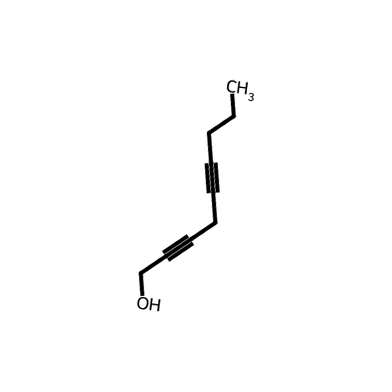 CCCC#CCC#CCO